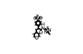 Cc1nsc(NC(=O)C(CC2CCOCC2)c2ccc(S(C)(=O)=O)cc2)n1